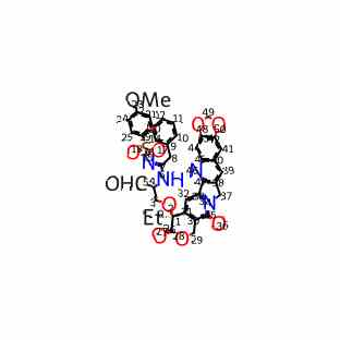 CC[C@@]1(OCC(C=O)N/C(Cc2ccccc2)=N/S(=O)(=O)c2ccc(OC)cc2)C(=O)OCc2c1cc1n(c2=O)Cc2cc3cc4c(cc3nc2-1)OCO4